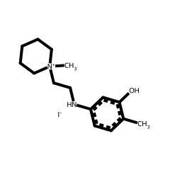 Cc1ccc(NCC[N+]2(C)CCCCC2)cc1O.[I-]